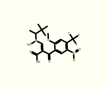 COc1cc(C(F)(F)F)c([N+](=O)[O-])cc1C(=O)C(=CN(O)C(C)C(C)(C)C)C(=O)O